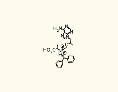 CC(Cn1cnc2c(N)ncnc21)OCP(=O)(NC(C)C(=O)O)ON=C(c1ccccc1)c1ccccc1